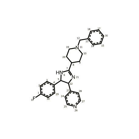 Fc1ccc(C2NC(C3CCN(Cc4ccccc4)CC3)=NC2c2ccncc2)cc1